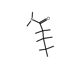 CN(C)C(=O)C(C)(C)C(C)(C)C(C)(C)C